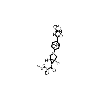 CCN(C)C(=O)[C@@H]1[C@@H]2CN(C3CC4CCC3CN4c3nc(C)no3)C[C@@H]21